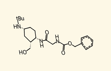 CC(C)(C)N[C@@H]1CC[C@H](NC(=O)CNC(=O)OCc2ccccc2)[C@H](CO)C1